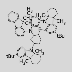 Cc1cc2c3c(c1)N1c4c(cc(C(C)(C)C)cc4C4(C)CCCCC14C)B3C1CCC(N3c4ccc(C(C)(C)C)cc4C4(C)CCCCC34C)CC1N2c1cccc2c1C(C)(C)c1ccccc1-2